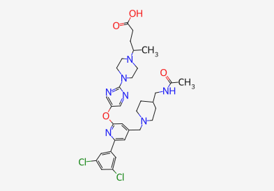 CC(=O)NCC1CCN(Cc2cc(Oc3cnc(N4CCN(C(C)CCC(=O)O)CC4)nc3)nc(-c3cc(Cl)cc(Cl)c3)c2)CC1